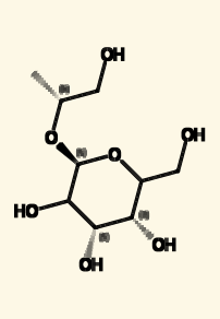 C[C@H](CO)O[C@H]1OC(CO)[C@H](O)[C@H](O)C1O